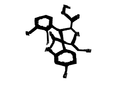 CC(C)(C)CC1NC(C(=O)OC(C)(C)C)C(c2cccc(Br)c2F)C12C(=O)Nc1cc(Cl)ccc12